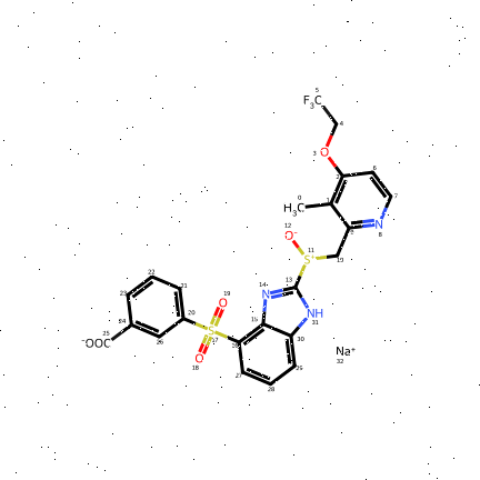 Cc1c(OCC(F)(F)F)ccnc1C[S+]([O-])c1nc2c(S(=O)(=O)c3cccc(C(=O)[O-])c3)cccc2[nH]1.[Na+]